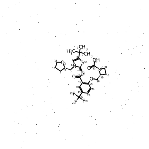 CC(C)(C)c1cn(C[C@H]2CCCO2)c(=NC(=O)c2cc(C(F)(F)F)ccc2OC[C@@H]2CCN2C(=O)O)s1